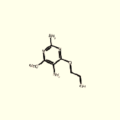 COc1nc(N)nc(OCCO)c1N